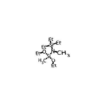 CCO[Si](C)(OCC)N(C)[Si](CC)(CC)CC